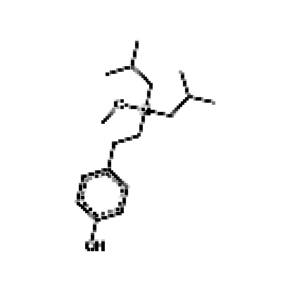 CO[Si](CCc1ccc(O)cc1)(CC(C)C)CC(C)C